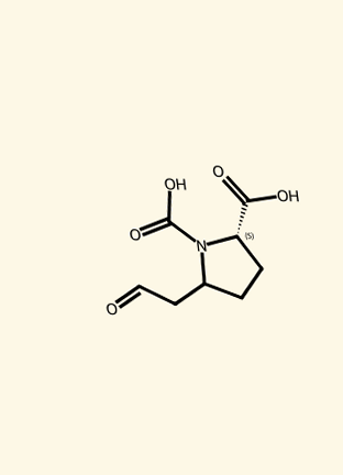 O=CCC1CC[C@@H](C(=O)O)N1C(=O)O